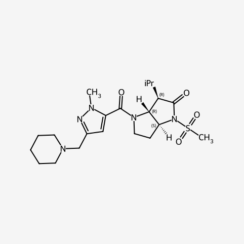 CC(C)[C@H]1C(=O)N(S(C)(=O)=O)[C@H]2CCN(C(=O)c3cc(CN4CCCCC4)nn3C)[C@H]12